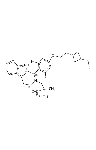 C[C@@H]1Cc2c([nH]c3ccccc23)[C@@H](c2c(F)cc(OCCN3CC(CF)C3)cc2F)N1CC(C)(C)O